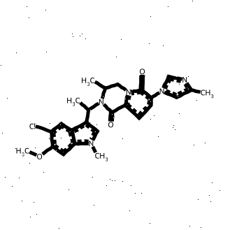 COc1cc2c(cc1Cl)c(C(C)N1C(=O)c3ccc(-n4cnc(C)c4)c(=O)n3CC1C)cn2C